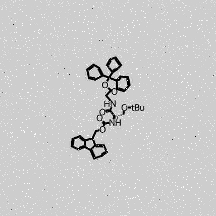 CC(C)(C)OC[C@H](NC(=O)OCC1c2ccccc2-c2ccccc21)C(=O)NCC(=O)OC(c1ccccc1)(c1ccccc1)c1ccccc1